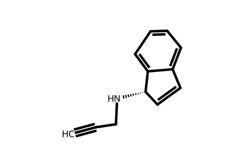 C#CCN[C@H]1C=Cc2ccccc21